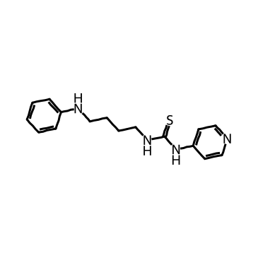 S=C(NCCCCNc1ccccc1)Nc1ccncc1